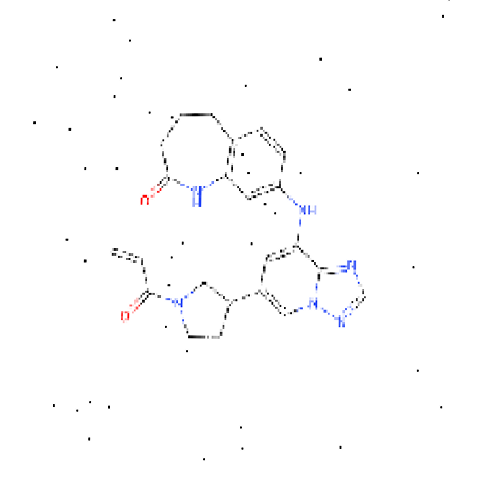 C=CC(=O)N1CCC(c2cc(Nc3ccc4c(c3)NC(=O)CCC4)c3ncnn3c2)C1